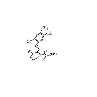 CCc1cc(C)c(C)cc1OCc1c(F)cccc1NC(=S)OC